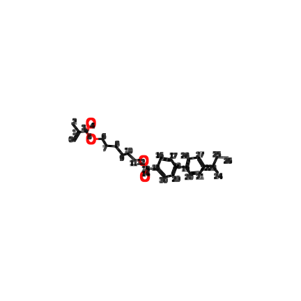 C=C(C)C(=O)OCCCCCCOC(=O)c1ccc(-c2ccc(C(C)CC)cc2)cc1